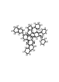 c1ccc(-n2c3ccccc3c3c4c5c6c7c(cccc7ccc6n(-c6nc7ccc8ccccc8c7nc6-c6ccc(-c7ccc8ccccc8c7)cc6)c5cc32)-c2ccccc2-4)cc1